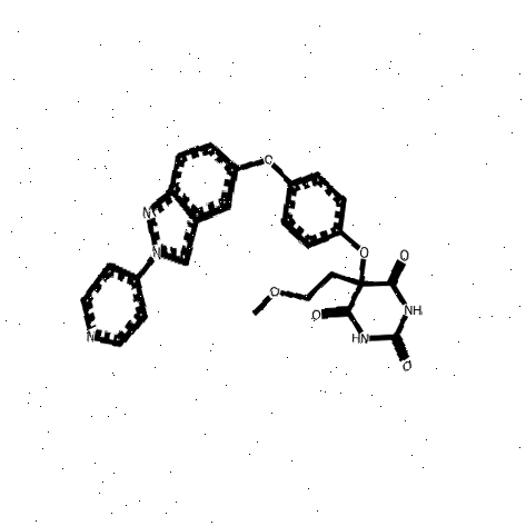 COCCC1(Oc2ccc(Oc3ccc4nn(-c5ccncc5)cc4c3)cc2)C(=O)NC(=O)NC1=O